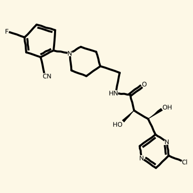 N#Cc1cc(F)ccc1N1CCC(CNC(=O)[C@H](O)[C@@H](O)c2cncc(Cl)n2)CC1